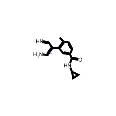 Cc1ccc(C(=O)NC2CC2)cc1/C(C=N)=C/N